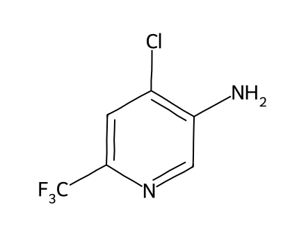 Nc1cnc(C(F)(F)F)cc1Cl